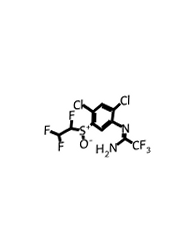 NC(=Nc1cc([S+]([O-])C(F)C(F)F)c(Cl)cc1Cl)C(F)(F)F